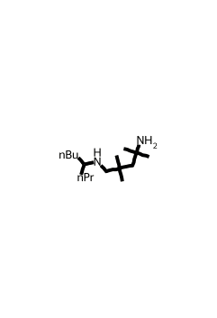 CCCCC(CCC)NCC(C)(C)CC(C)(C)N